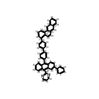 c1ccc(-c2ccc3c(-c4ccc(-c5ccc(-c6cccc7c6ccc6cc8ccccc8cc67)cc5)cc4)c4ccccc4c(-c4ncccn4)c3c2)cc1